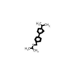 CC(C)SCc1ccc(-c2ccc(C(C)C)cc2)cc1